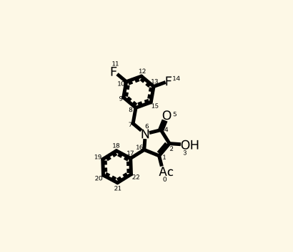 CC(=O)C1=C(O)C(=O)N(Cc2cc(F)cc(F)c2)C1c1ccccc1